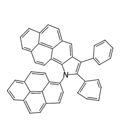 c1ccc(-c2c(-c3ccccc3)n(-c3ccc4ccc5cccc6ccc3c4c56)c3c2cc2ccc4cccc5ccc3c2c45)cc1